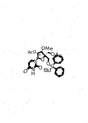 CO[C@H]1[C@@H](OC(C)=O)[C@H](n2ccc(=O)[nH]c2=O)O[C@]1(COC(C)=O)CO[Si](c1ccccc1)(c1ccccc1)C(C)(C)C